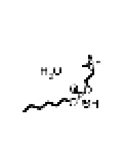 CCCCCCOP(=O)(O)OCC[N+](C)(C)C.O